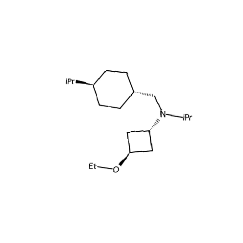 CCO[C@H]1C[C@H](N(C[C@H]2CC[C@H](C(C)C)CC2)C(C)C)C1